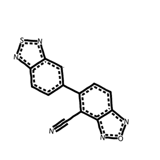 N#Cc1c(-c2[c]c3nsnc3cc2)ccc2nonc12